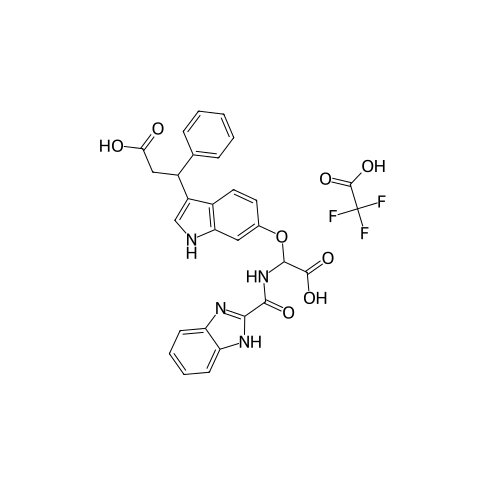 O=C(O)C(F)(F)F.O=C(O)CC(c1ccccc1)c1c[nH]c2cc(OC(NC(=O)c3nc4ccccc4[nH]3)C(=O)O)ccc12